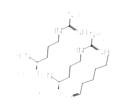 CCCCCC=O.N=C(N)NCCC[C@H](N)C(=O)O.N=C(N)NCCC[C@H](N)C(=O)O